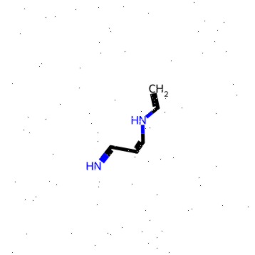 C=CN/C=C\C=N